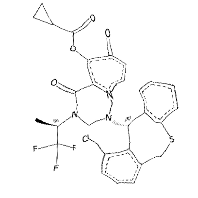 C[C@@H](N1CN([C@@H]2c3ccccc3SCc3cccc(Cl)c32)n2ccc(=O)c(OC(=O)C3CC3)c2C1=O)C(F)(F)F